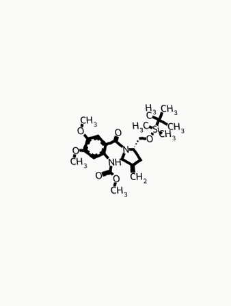 C=C1C[C@@H](CO[Si](C)(C)C(C)(C)C)N(C(=O)c2cc(OC)c(OC)cc2NC(=O)OC)C1